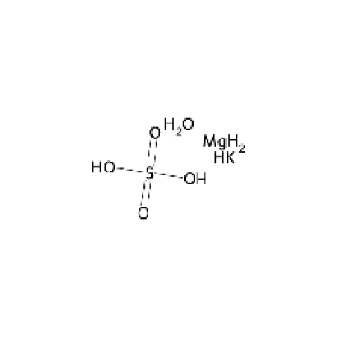 O.O=S(=O)(O)O.[KH].[MgH2]